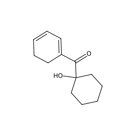 O=C(C1=CC=CCC1)C1(O)CCCCC1